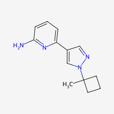 CC1(n2cc(-c3cccc(N)n3)cn2)CCC1